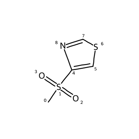 CS(=O)(=O)c1cscn1